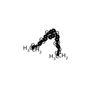 C=C(C)C(=O)OCOc1ccc(C(=O)Oc2ccc3cc(C(=O)Oc4ccc5ccccc5c4-c4c(OC(=O)c5ccc6cc(OC(=O)c7ccc(OCOC(=O)C(=C)C)cc7)ccc6c5)ccc5ccccc45)ccc3c2)cc1